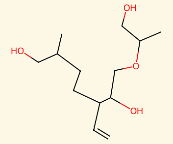 C=CC(CCC(C)CO)C(O)COC(C)CO